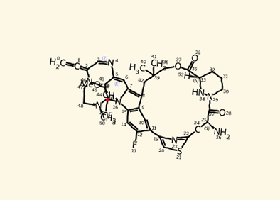 C=C=C(/C=N\C(=C\c1c2c3cc(c(F)cc3n1CC(F)(F)F)-c1csc(n1)C[C@H](N)C(=O)N1CCC[C@H](N1)C(=O)OCC(C)(C)C2)[C@H](C)OC)N1CCN(C)CC1